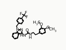 COc1ccc(CCNC(=O)Nc2nn(Cc3ccc(C(F)(F)F)cc3)c3ccccc23)cc1OC